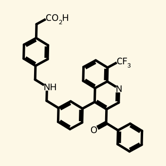 O=C(O)Cc1ccc(CNCc2cccc(-c3c(C(=O)c4ccccc4)cnc4c(C(F)(F)F)cccc34)c2)cc1